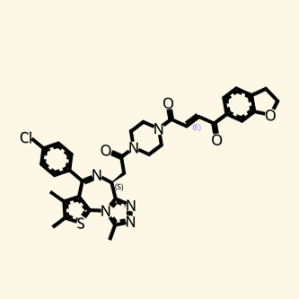 Cc1sc2c(c1C)C(c1ccc(Cl)cc1)=N[C@@H](CC(=O)N1CCN(C(=O)/C=C/C(=O)c3ccc4c(c3)OCC4)CC1)c1nnc(C)n1-2